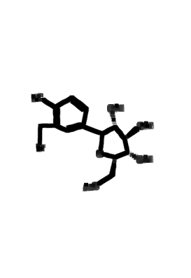 CC(=O)OC[C@H]1OC(c2ccc(C#N)c(CBr)c2)[C@H](OC(C)=O)[C@@H](OC(C)=O)[C@@H]1OC(C)=O